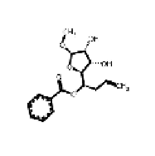 C=CC[C@@H](OC(=O)c1ccccc1)[C@H]1O[C@@H](OC)[C@H](O)[C@@H]1O